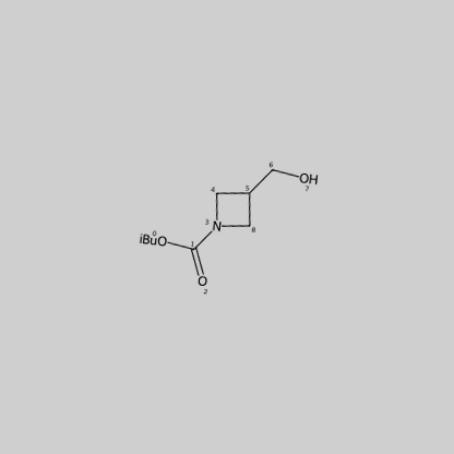 CC(C)COC(=O)N1CC(CO)C1